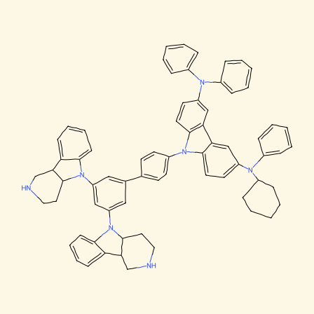 c1ccc(N(c2ccccc2)c2ccc3c(c2)c2cc(N(c4ccccc4)C4CCCCC4)ccc2n3-c2ccc(-c3cc(N4c5ccccc5C5CNCCC54)cc(N4c5ccccc5C5CNCCC54)c3)cc2)cc1